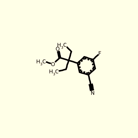 CCC(CC)(C(=O)OC)c1cc(F)cc(C#N)c1